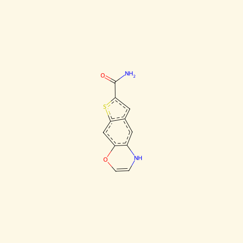 NC(=O)c1cc2cc3c(cc2s1)OC=CN3